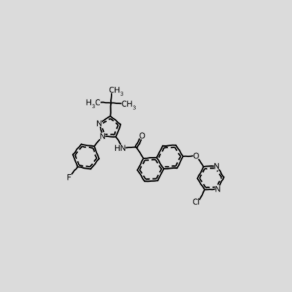 CC(C)(C)c1cc(NC(=O)c2cccc3cc(Oc4cc(Cl)ncn4)ccc23)n(-c2ccc(F)cc2)n1